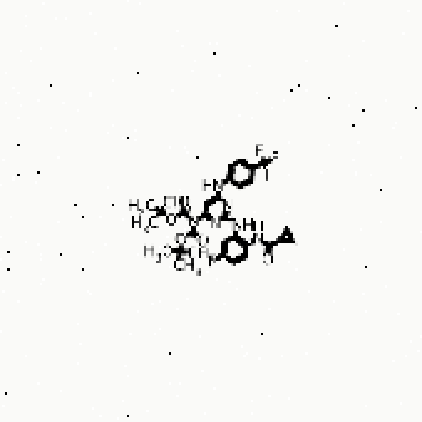 CC(C)(C)OC(=O)N(C(=O)OC(C)(C)C)c1cc(Nc2ccc(C(F)(F)F)cc2)nc(Nc2cc(F)ccc2NC(=O)C2CC2)n1